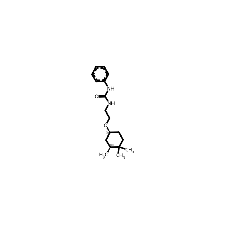 C[C@H]1C[C@@H](OCCNC(=O)Nc2ccccc2)CCC1(C)C